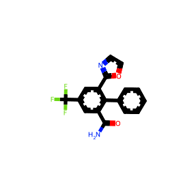 NC(=O)c1cc(C(F)(F)F)cc(-c2ncco2)c1-c1ccccc1